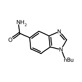 CCCCn1cnc2cc(C(N)=O)ccc21